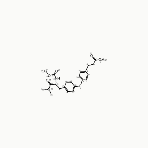 COC(=O)CCc1ccc(Oc2ccc(CC(NC(=O)OC(C)(C)C)C(=O)N(C)C)cc2)cc1